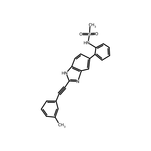 Cc1cccc(C#Cc2nc3cc(-c4ccccc4NS(C)(=O)=O)ccc3[nH]2)c1